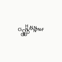 Cn1cc(C(=O)Nc2cc(Cl)cc(S(C)(=O)=O)c2)cc1-c1ncc(N2CC(F)C2)cn1